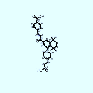 CC1(C)CCC(C)(C)c2c(N3CCN(CCC(=O)O)CC3)cc(C(=O)/C=C/c3ccc(C(=O)O)cc3)cc21